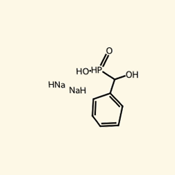 O=[PH](O)C(O)c1ccccc1.[NaH].[NaH]